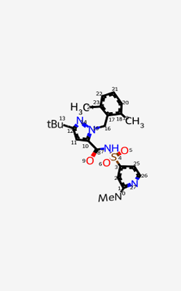 CNc1cc(S(=O)(=O)NC(=O)c2cc(C(C)(C)C)nn2Cc2c(C)cccc2C)ccn1